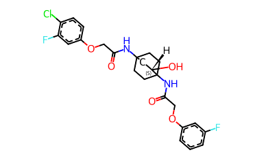 O=C(COc1ccc(Cl)c(F)c1)NC12CCC(NC(=O)COc3cccc(F)c3)(CC1)[C@@H](O)C2